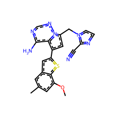 COc1cc(C)cc2cc(-c3cc(Cn4ccnc4C#N)n4ncnc(N)c34)sc12